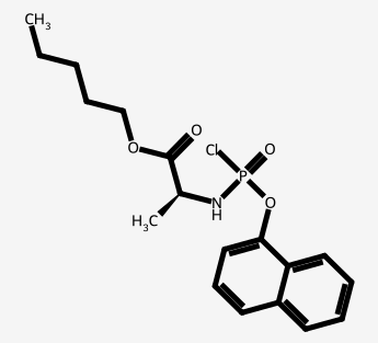 CCCCCOC(=O)[C@H](C)NP(=O)(Cl)Oc1cccc2ccccc12